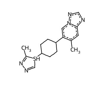 CC1=NN=C[SH]1C1CCC(c2cn3ncnc3cc2C)CC1